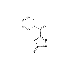 C/C=C(\c1cncnc1)c1n[nH]c(=O)o1